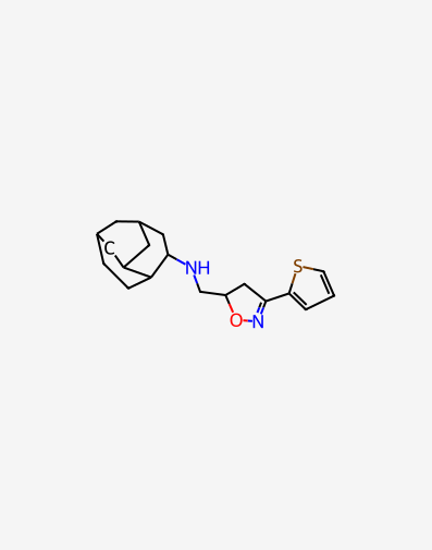 c1csc(C2=NOC(CNC3CC4CC5CCC3C(C5)C4)C2)c1